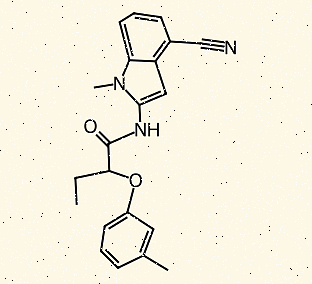 CCC(Oc1cccc(C)c1)C(=O)Nc1cc2c(C#N)cccc2n1C